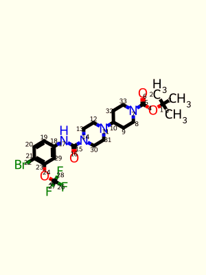 CC(C)(C)OC(=O)N1CCC(N2CCN(C(=O)Nc3ccc(Br)c(OC(F)(F)F)c3)CC2)CC1